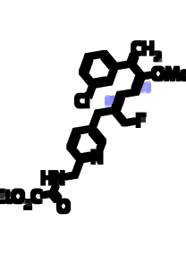 C=C(/C(=C\C=C(/CF)Cc1ccc(CNC(=O)C(=O)OCC)nc1)OC)c1cccc(Cl)c1